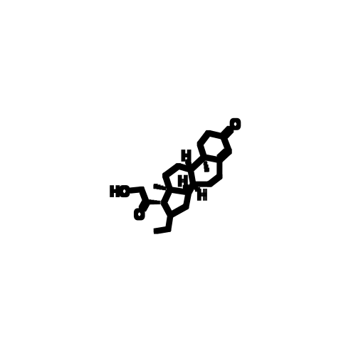 CCC1C[C@H]2[C@@H]3CCC4=CC(=O)CC[C@]4(C)[C@H]3CC[C@]2(C)[C@H]1C(=O)CO